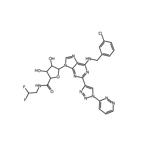 O=C(NCC(F)F)C1OC(n2cnc3c(NCc4cccc(Cl)c4)nc(-c4cn(-c5cccnn5)nn4)nc32)C(O)C1O